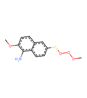 COOOSc1ccc2c(N)c(OC)ccc2c1